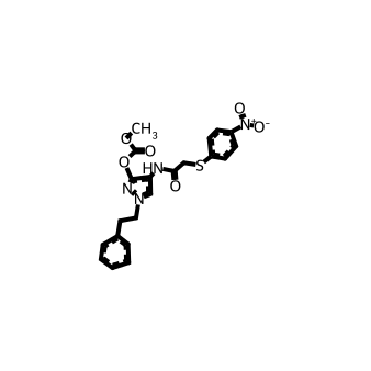 COC(=O)Oc1nn(CCc2ccccc2)cc1NC(=O)CSc1ccc([N+](=O)[O-])cc1